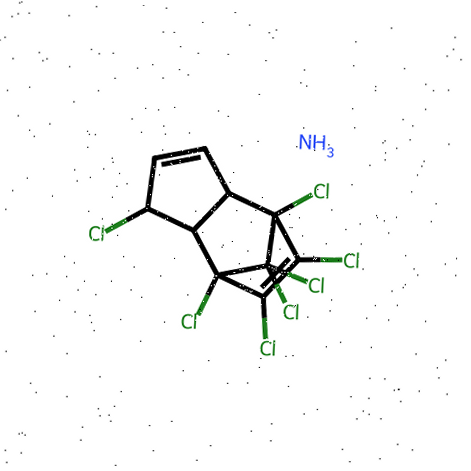 ClC1=C(Cl)C2(Cl)C3C(Cl)C=CC3C1(Cl)C2(Cl)Cl.N